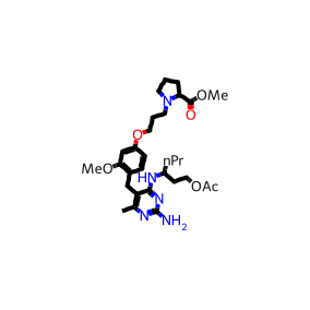 CCCC(CCOC(C)=O)Nc1nc(N)nc(C)c1Cc1ccc(OCCCN2CCCC2C(=O)OC)cc1OC